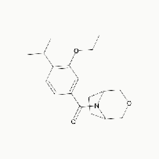 CCOc1cc(C(=O)N2C3CCC2COC3)ccc1C(C)C